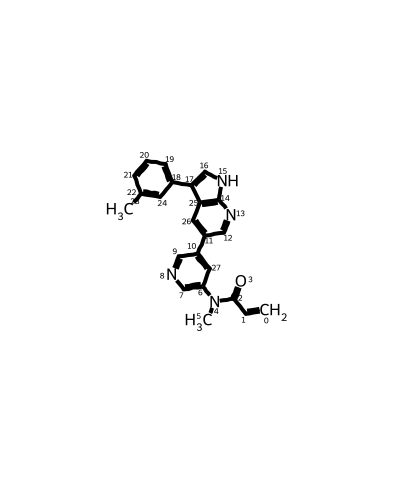 C=CC(=O)N(C)c1cncc(-c2cnc3[nH]cc(-c4cccc(C)c4)c3c2)c1